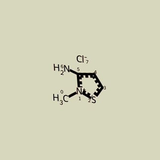 C[n+]1sccc1N.[Cl-]